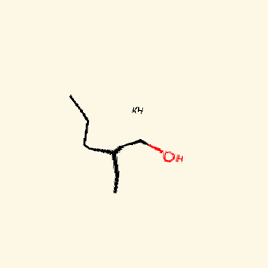 CCCC(C)CO.[KH]